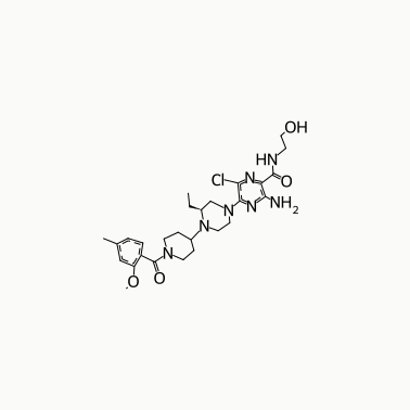 CC[C@H]1CN(c2nc(N)c(C(=O)NCCO)nc2Cl)CCN1C1CCN(C(=O)c2ccc(C)cc2OC)CC1